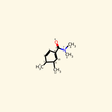 CC1C=CC(C(=O)N(C)C)=CC1C